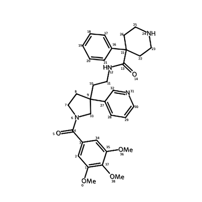 COc1cc(C(=O)N2CCC(CCNC(=O)C3(c4ccccc4)CCNCC3)(c3cccnc3)C2)cc(OC)c1OC